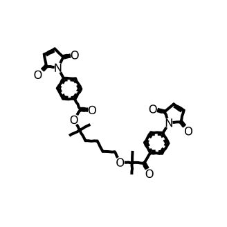 CC(C)(CCCCOC(C)(C)C(=O)c1ccc(N2C(=O)C=CC2=O)cc1)OC(=O)c1ccc(N2C(=O)C=CC2=O)cc1